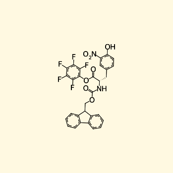 O=C(N[C@@H](Cc1ccc(O)c([N+](=O)[O-])c1)C(=O)Oc1c(F)c(F)c(F)c(F)c1F)OCC1c2ccccc2-c2ccccc21